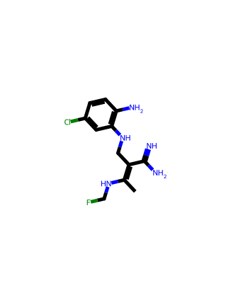 C/C(NCF)=C(/CNc1cc(Cl)ccc1N)C(=N)N